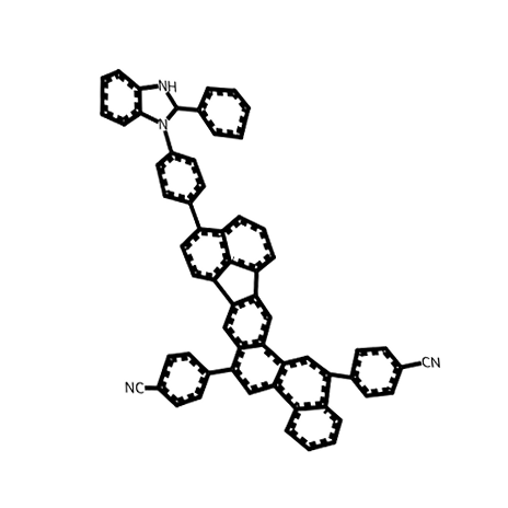 N#Cc1ccc(-c2cc3c4cc5c(cc4c(-c4ccc(C#N)cc4)cc3c3ccccc23)-c2ccc(-c3ccc(N4c6ccccc6NC4c4ccccc4)cc3)c3cccc-5c23)cc1